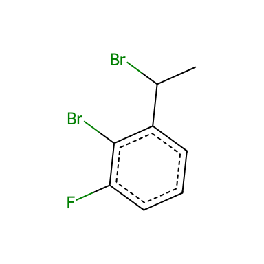 CC(Br)c1cccc(F)c1Br